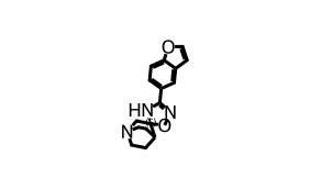 c1cc2cc(C3=NO[C@@]4(CN5CCC4CC5)N3)ccc2o1